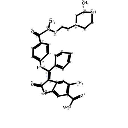 COC(=O)c1cc2c(cc1C)/C(=C(/Nc1ccc(C(=O)N(C)OCCN3CCN[C@@H](C)C3)cc1)c1ccccc1)C(=O)N2